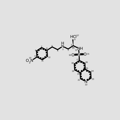 C[C@H](CNCCc1ccc([N+](=O)[O-])cc1)NS(=O)(=O)c1ccc2cnccc2c1.Cl